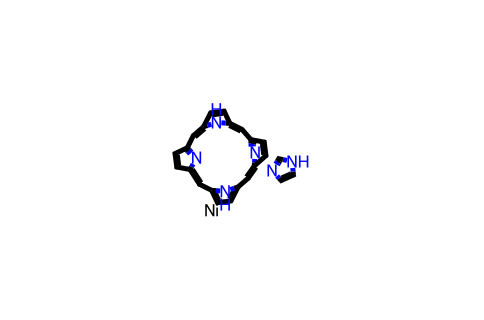 C1=Cc2cc3ccc(cc4nc(cc5ccc(cc1n2)[nH]5)C=C4)[nH]3.[Ni].c1c[nH]cn1